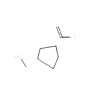 NC[C@H]1CC[C@@H](C(=O)O)C1